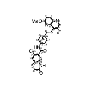 COc1ccc2ncc(F)c(CCC34CCC(NC(=O)c5nc6c(cc5Cl)SCC(=O)N6)(CC3)CC4)c2n1